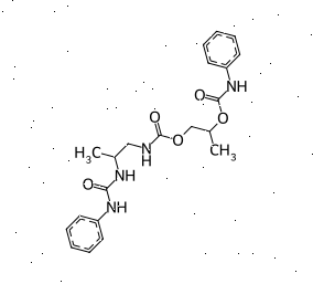 CC(CNC(=O)OCC(C)OC(=O)Nc1ccccc1)NC(=O)Nc1ccccc1